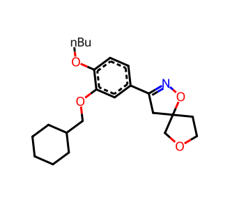 CCCCOc1ccc(C2=NOC3(CCOC3)C2)cc1OCC1CCCCC1